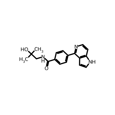 CC(C)(O)CNC(=O)c1ccc(-c2nccc3[nH]ccc23)cc1